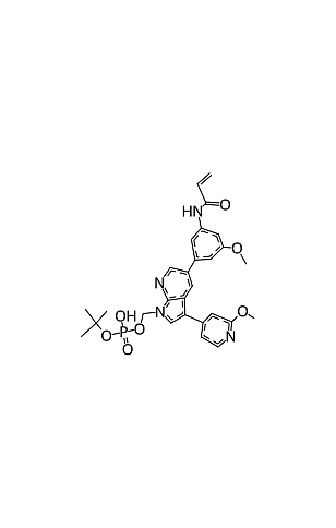 C=CC(=O)Nc1cc(OC)cc(-c2cnc3c(c2)c(-c2ccnc(OC)c2)cn3COP(=O)(O)OC(C)(C)C)c1